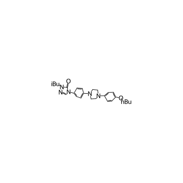 CCCCOc1ccc(N2CCN(c3ccc(-n4cnn(C(C)CC)c4=O)cc3)CC2)cc1